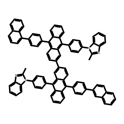 Cc1nc2ccccc2n1-c1ccc(-c2c3ccccc3c(-c3ccc(-c4ccc5ccccc5c4)cc3)c3ccc(-c4ccc5c(-c6ccc(-c7cccc8ccccc78)cc6)c6ccccc6c(-c6ccc(-n7c(C)nc8ccccc87)cc6)c5c4)cc23)cc1